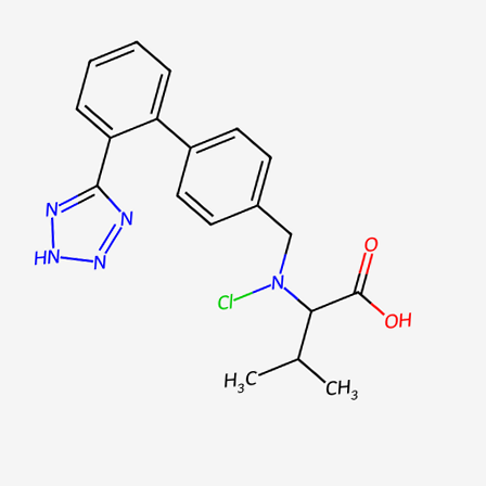 CC(C)C(C(=O)O)N(Cl)Cc1ccc(-c2ccccc2-c2nn[nH]n2)cc1